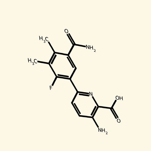 Cc1c(C(N)=O)cc(-c2ccc(N)c(C(=O)O)n2)c(F)c1C